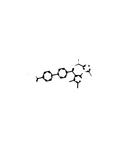 COC(=O)c1ccc(-c2ccc(C3=N[C@@H](C)c4nnc(C)n4-c4sc(C)c(C)c43)cc2)cc1